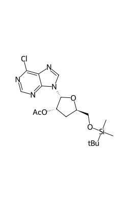 CC(=O)O[C@H]1C[C@H](CO[Si](C)(C)C(C)(C)C)O[C@H]1n1cnc2c(Cl)ncnc21